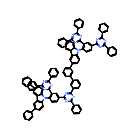 c1ccc(-c2ccc3c(c2)c2cc(-c4ccccc4)ccc2n3-c2ccc(-c3nc(-c4ccccc4)nc(-c4cccc(-c5cccc(-c6ccc7c(c6)c6ccccc6n7-c6ccc(-c7nc(-c8ccccc8)nc(-c8ccccc8)n7)cc6-c6nc(-c7ccccc7)nc(-c7ccccc7)n6)c5)c4)n3)cc2-c2nc(-c3ccccc3)nc(-c3ccccc3)n2)cc1